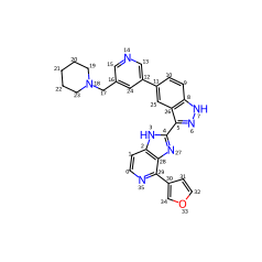 c1cc2[nH]c(-c3n[nH]c4ccc(-c5cncc(CN6CCCCC6)c5)cc34)nc2c(-c2ccoc2)n1